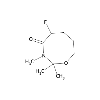 CN1C(=O)C(F)CCCOC1(C)C